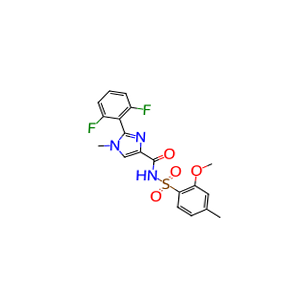 COc1cc(C)ccc1S(=O)(=O)NC(=O)c1cn(C)c(-c2c(F)cccc2F)n1